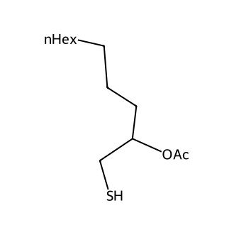 CCCCCCCCCC(CS)OC(C)=O